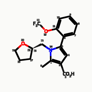 Cc1c(C(=O)O)cc(-c2ccccc2OC(F)(F)F)n1C[C@@H]1CCCO1